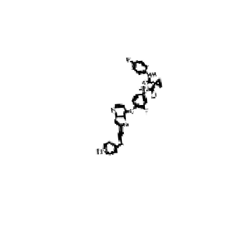 O=C(Nc1ccc(F)cc1)C1(C(=O)Nc2ccc(Oc3ccnc4cc(C#CCC5CCNCC5)sc34)c(F)c2)CC1